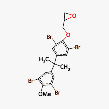 COc1c(Br)cc(C(C)(C)c2cc(Br)c(OCC3CO3)c(Br)c2)cc1Br